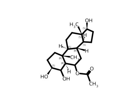 CC(=O)OC1C[C@@H]2[C@H](CC[C@]3(C)[C@@H](O)CC[C@@H]23)[C@@]2(C)CC[C@H](O)C(O)[C@H]12